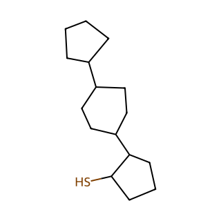 SC1CCCC1C1CCC(C2CCCC2)CC1